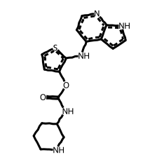 O=C(NC1CCCNC1)Oc1ccsc1Nc1ccnc2[nH]ccc12